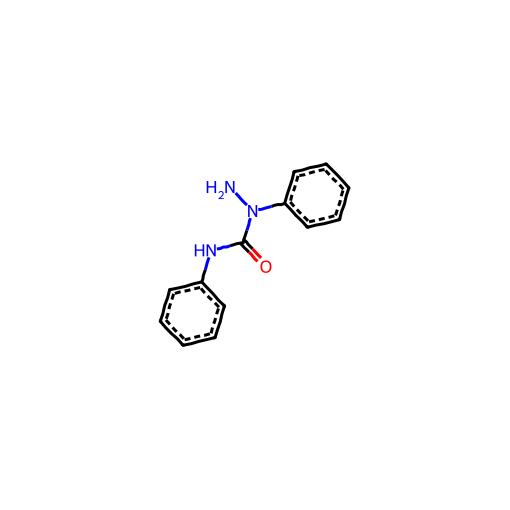 NN(C(=O)Nc1ccccc1)c1ccccc1